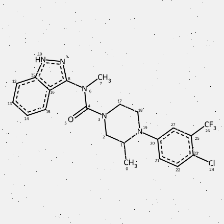 CC1CN(C(=O)N(C)c2n[nH]c3ccccc23)CCN1c1ccc(Cl)c(C(F)(F)F)c1